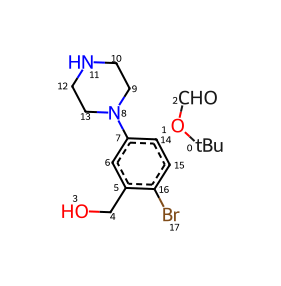 CC(C)(C)OC=O.OCc1cc(N2CCNCC2)ccc1Br